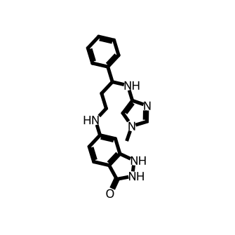 Cn1cnc(NC(CCNc2ccc3c(=O)[nH][nH]c3c2)c2ccccc2)c1